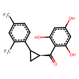 O=C(c1c(O)cc(O)cc1O)[C@H]1CC1c1ccc(C(F)(F)F)cc1C(F)(F)F